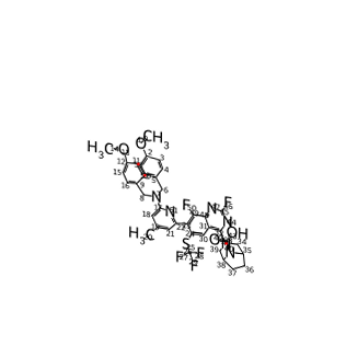 COc1ccc(CN(Cc2ccc(OC)cc2)c2cc(C)cc(-c3c(SC(F)(F)F)cc4c(N5CC6CCC(C5)N6C(=O)O)nc(F)nc4c3F)n2)cc1